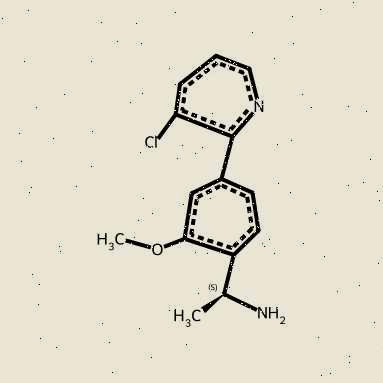 COc1cc(-c2ncccc2Cl)ccc1[C@H](C)N